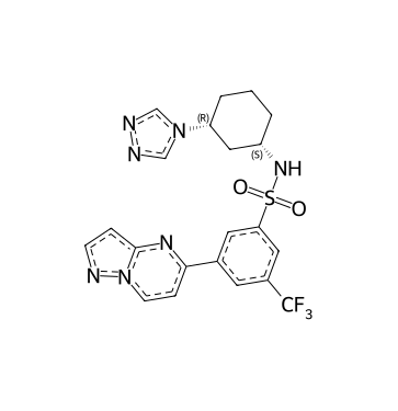 O=S(=O)(N[C@H]1CCC[C@@H](n2cnnc2)C1)c1cc(-c2ccn3nccc3n2)cc(C(F)(F)F)c1